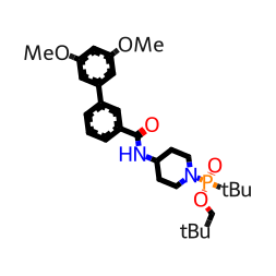 COc1cc(OC)cc(-c2cccc(C(=O)NC3CCN(P(=O)(OCC(C)(C)C)C(C)(C)C)CC3)c2)c1